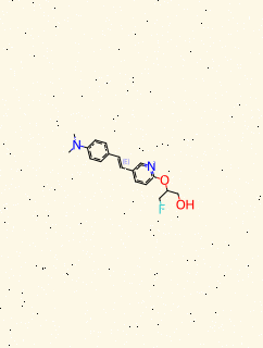 CN(C)c1ccc(/C=C/c2ccc(OC(CO)CF)nc2)cc1